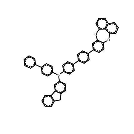 c1ccc(-c2ccc(N(c3ccc(-c4ccc(-c5ccc6c(c5)Oc5cccc7cccc(c57)O6)cc4)cc3)c3ccc4c(c3)-c3ccccc3C4)cc2)cc1